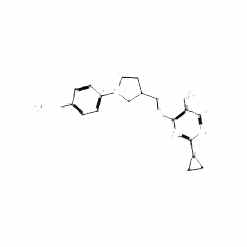 COc1ccc(N2CCC(COc3nc(C4CC4)ncc3C#N)C2)cc1